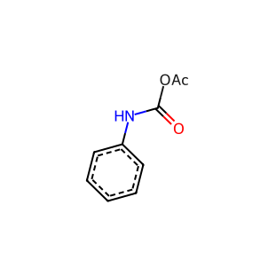 CC(=O)OC(=O)Nc1ccccc1